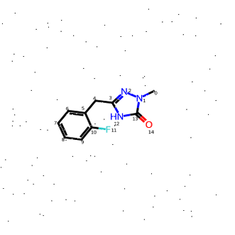 Cn1nc(Cc2ccccc2F)[nH]c1=O